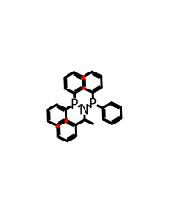 CC(c1ccccc1)N(P(c1ccccc1)c1ccccc1)P(c1ccccc1)c1ccccc1